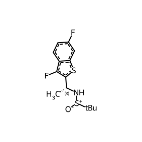 C[C@@H](N[S+]([O-])C(C)(C)C)c1sc2cc(F)ccc2c1F